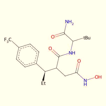 CC[C@@H](c1ccc(C(F)(F)F)cc1)C(CC(=O)NO)C(=O)NC(C(N)=O)C(C)(C)C